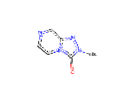 CCCCn1nc2cnccn2c1=O